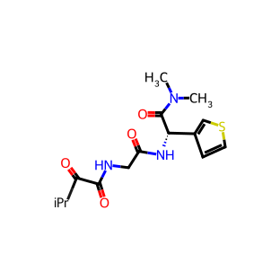 CC(C)C(=O)C(=O)NCC(=O)N[C@H](C(=O)N(C)C)c1ccsc1